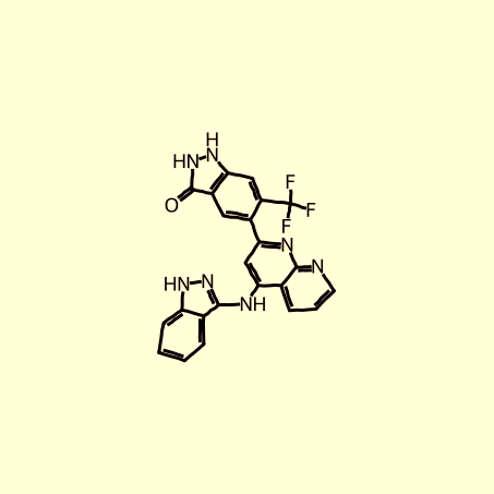 O=c1[nH][nH]c2cc(C(F)(F)F)c(-c3cc(Nc4n[nH]c5ccccc45)c4cccnc4n3)cc12